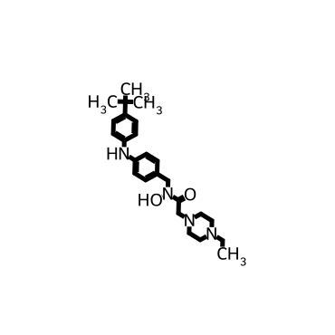 CCN1CCN(CC(=O)N(O)Cc2ccc(Nc3ccc(C(C)(C)C)cc3)cc2)CC1